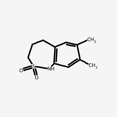 Cc1cc2c(cc1C)NS(=O)(=O)CCC2